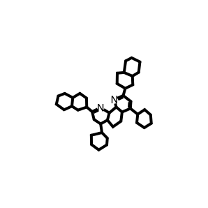 C1=C(C2CCCCC2)C2CCC3C(C4CCCCC4)CC(C4CCC5CCCCC5C4)=NC3C2N=C1C1CCC2CCCCC2C1